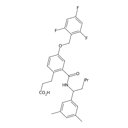 Cc1cc(C)cc(C(CC(C)C)NC(=O)c2cc(OCc3c(F)cc(F)cc3F)ccc2CCC(=O)O)c1